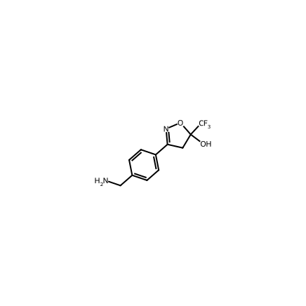 NCc1ccc(C2=NOC(O)(C(F)(F)F)C2)cc1